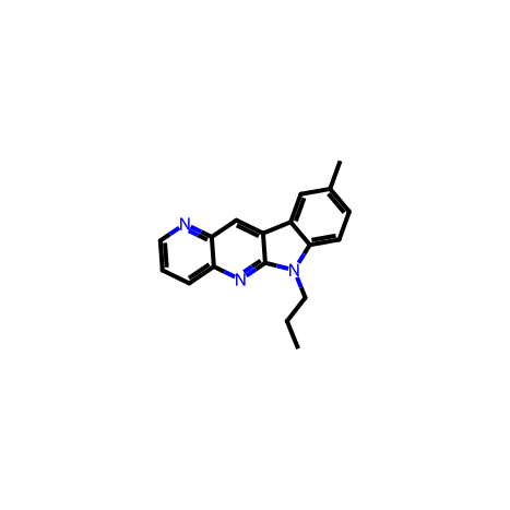 CCCn1c2ccc(C)cc2c2cc3ncccc3nc21